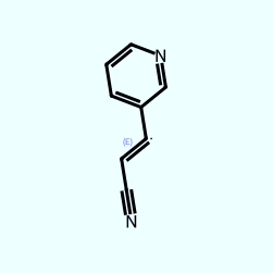 N#C/C=[C]/c1cccnc1